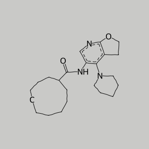 O=C(Nc1cnc2c(c1N1CCCCC1)CCO2)C1CCCCCCCCC1